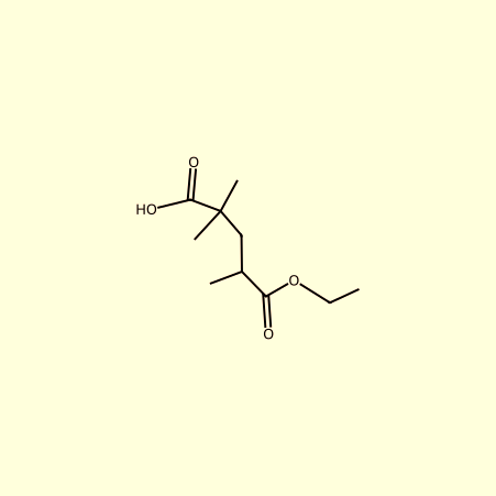 CCOC(=O)C(C)CC(C)(C)C(=O)O